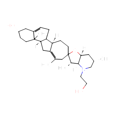 CC1=C2C[C@H]3C(CC=C4C[C@@H](O)CCC43C)[C@@H]2CCC2(C1)O[C@@H]1C[C@H](C)CN(CCO)[C@H]1[C@H]2C